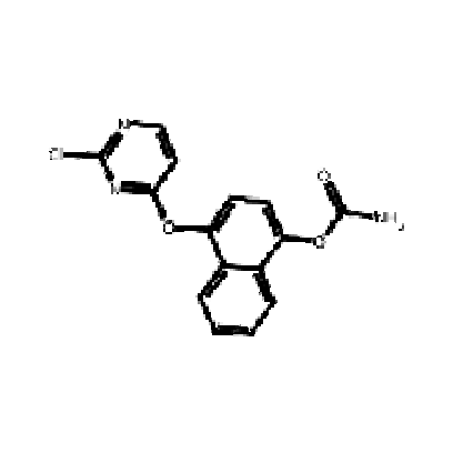 NC(=O)Oc1ccc(Oc2ccnc(Cl)n2)c2ccccc12